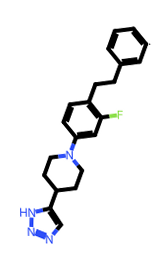 Fc1cc(N2CCC(c3cnn[nH]3)CC2)ccc1CCc1c[c]ccc1